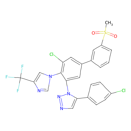 CS(=O)(=O)c1cccc(-c2cc(Cl)c(-n3cnc(C(F)(F)F)c3)c(-n3nncc3-c3ccc(Cl)cc3)c2)c1